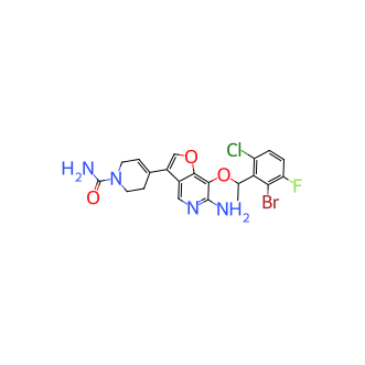 CC(Oc1c(N)ncc2c(C3=CCN(C(N)=O)CC3)coc12)c1c(Cl)ccc(F)c1Br